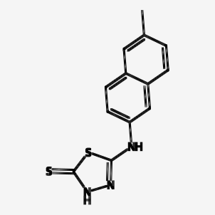 Cc1ccc2cc(Nc3n[nH]c(=S)s3)ccc2c1